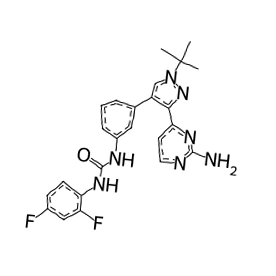 CC(C)(C)n1cc(-c2cccc(NC(=O)Nc3ccc(F)cc3F)c2)c(-c2ccnc(N)n2)n1